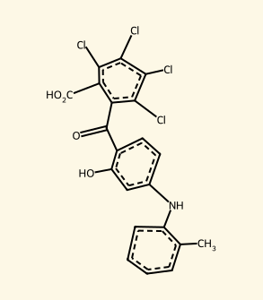 Cc1ccccc1Nc1ccc(C(=O)c2c(Cl)c(Cl)c(Cl)c(Cl)c2C(=O)O)c(O)c1